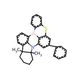 CC12CCCCC1(C)N1c3cc(-c4ccccc4)cc4c3B(c3ccccc3S4)c3cccc2c31